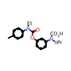 CCCN(C(=O)O)c1cccc(OC(=O)N(CC)c2ccc(C)cc2)c1